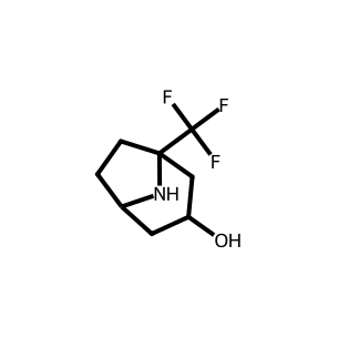 OC1CC2CCC(C(F)(F)F)(C1)N2